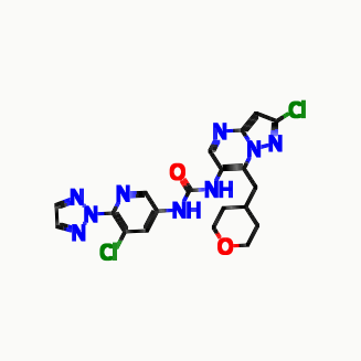 O=C(Nc1cnc(-n2nccn2)c(Cl)c1)Nc1cnc2cc(Cl)nn2c1CC1CCOCC1